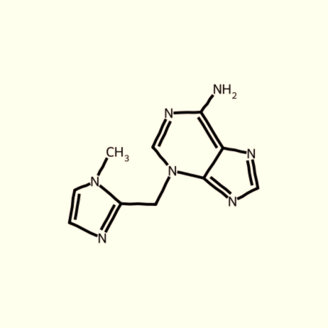 Cn1ccnc1Cn1cnc(N)c2ncnc1-2